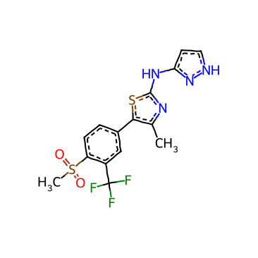 Cc1nc(Nc2cc[nH]n2)sc1-c1ccc(S(C)(=O)=O)c(C(F)(F)F)c1